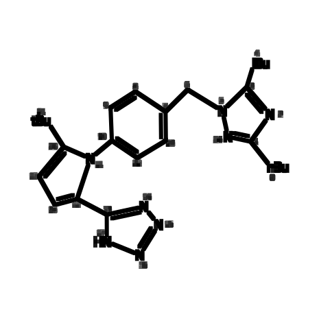 CCCCc1nc(C(C)CC)n(Cc2ccc(-n3c(-c4nnn[nH]4)ccc3C(C)(C)C)cc2)n1